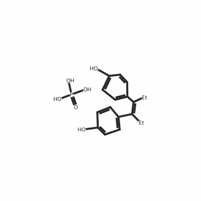 CCC(=C(CC)c1ccc(O)cc1)c1ccc(O)cc1.O=P(O)(O)O